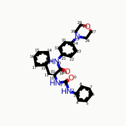 O=C(Nc1ccccc1)N[C@@H](Cc1ccccc1)C(=O)Nc1ccc(N2CCOCC2)cc1